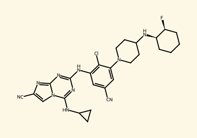 N#Cc1cc(Nc2nc(NC3CC3)n3cc(C#N)nc3n2)c(Cl)c(N2CCC(N[C@@H]3CCCC[C@@H]3F)CC2)c1